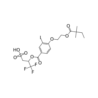 CCC(C)(C)C(=O)OCCOc1ccc(C(=O)OC(CS(=O)(=O)O)C(F)(F)F)cc1I